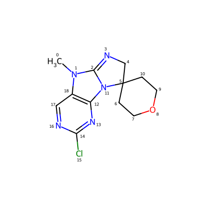 CN1C2=NCC3(CCOCC3)N2c2nc(Cl)ncc21